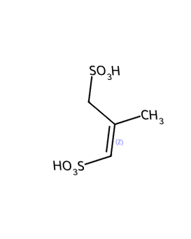 C/C(=C/S(=O)(=O)O)CS(=O)(=O)O